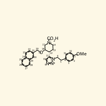 COc1ccc(CCn2nncc2[C@H]2CCN(C(=O)O)C[C@@H]2OCc2ccc3ccccc3c2)cc1